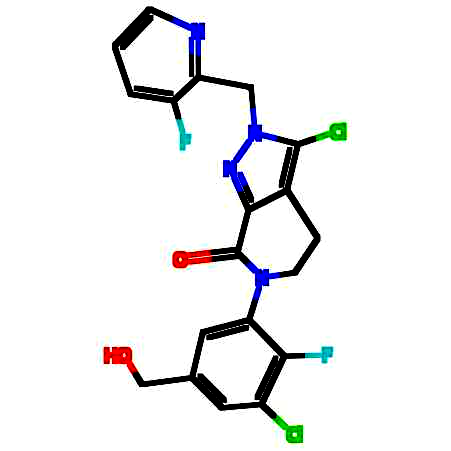 O=C1c2nn(Cc3ncccc3F)c(Cl)c2CCN1c1cc(CO)cc(Cl)c1F